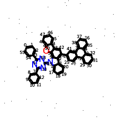 c1ccc(-c2nc(-c3ccccc3)nc(-n3c4ccccc4c4c(-c5ccc6c7ccccc7c7ccccc7c6c5)cc5c6ccccc6oc5c43)n2)cc1